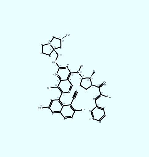 C#Cc1c(F)ccc2cc(O)cc(-c3ncc4c(N(C)[C@@H]5CCN(C(=O)/C(F)=C/c6cccnc6)[C@@H]5C)nc(OC[C@@]56CCCN5C[C@H](F)C6)nc4c3F)c12